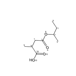 CCC(C)OC(=O)CC(C)C(=O)O